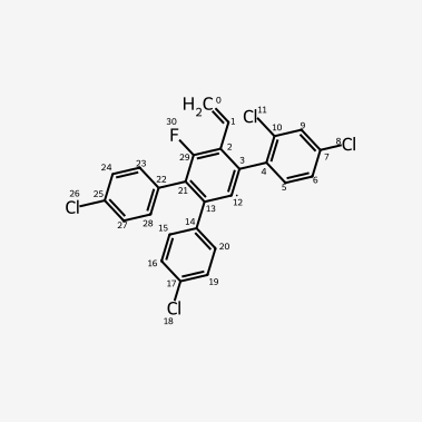 C=Cc1c(-c2ccc(Cl)cc2Cl)[c]c(-c2ccc(Cl)cc2)c(-c2ccc(Cl)cc2)c1F